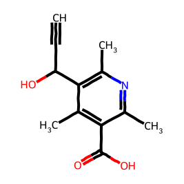 C#CC(O)c1c(C)nc(C)c(C(=O)O)c1C